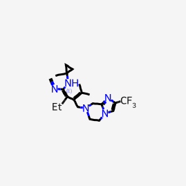 C=N/C(NC1(C)CC1)=C(\CC)C(CN1CCn2cc(C(F)(F)F)nc2C1)=C(C)C